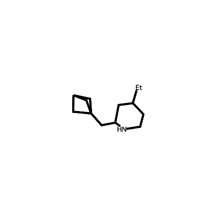 CCC1CCNC(CC23CC(C2)C3)C1